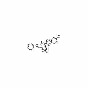 CC(=O)OC(Br)(Oc1ccc(Cl)cc1)C(=O)C(C)(C)COc1ccccc1